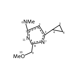 CNc1cc(C2CC2)nc(COC)n1